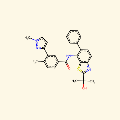 Cn1ccc(-c2cc(C(=O)Nc3c(-c4ccccc4)ccc4nc(C(C)(C)O)sc34)ccc2C(F)(F)F)n1